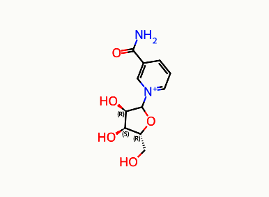 NC(=O)c1ccc[n+](C2O[C@H](CO)[C@@H](O)[C@H]2O)c1